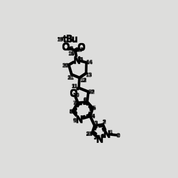 Cn1cc(-c2cc3c(cn2)OC(C2CCN(C(=O)OC(C)(C)C)CC2)C3)cn1